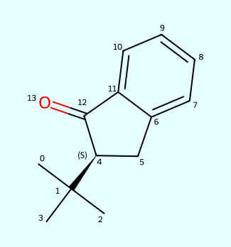 CC(C)(C)[C@@H]1Cc2ccccc2C1=O